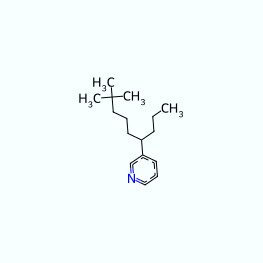 CCCC(CCCC(C)(C)C)c1cccnc1